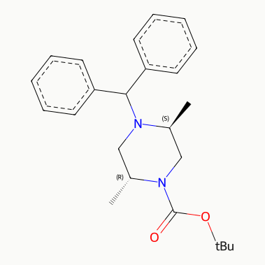 C[C@@H]1CN(C(c2ccccc2)c2ccccc2)[C@@H](C)CN1C(=O)OC(C)(C)C